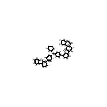 c1ccc(N(c2ccc(-c3cccc4c3oc3c4ccc4ccc5ccccc5c43)cc2)c2ccc(-c3cccc4c3sc3ccccc34)cc2)cc1